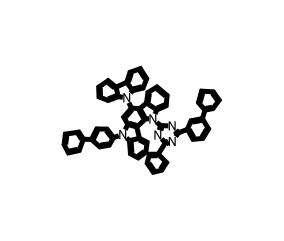 c1ccc(-c2ccc(-n3c4ccccc4c4c3cc(-n3c5ccccc5c5ccccc53)c3c5ccccc5n(-c5nc(-c6ccccc6)nc(-c6cccc(-c7ccccc7)c6)n5)c34)cc2)cc1